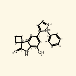 O=C1Nc2c(O)cc(-c3ccnn3-c3ccccc3)cc2C12CCC2